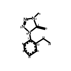 C=C1N(C)N=NN1c1ccccc1CC